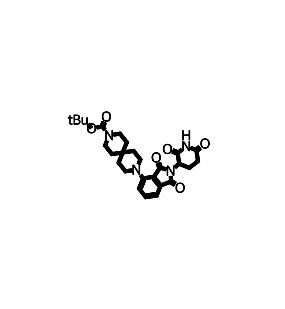 CC(C)(C)OC(=O)N1CCC2(CC1)CCN(c1cccc3c1C(=O)N(C1CCC(=O)NC1=O)C3=O)CC2